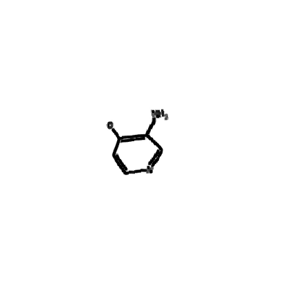 Nc1cnccc1[O]